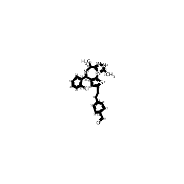 Cc1nnc2n1-c1sc(CCc3ccc(C=O)cc3)cc1C(c1ccccc1Cl)=NC2C